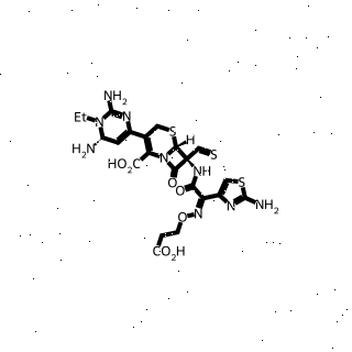 CCN1C(N)=NC(C2=C(C(=O)O)N3C(=O)[C@](C=S)(NC(=O)/C(=N\OCCC(=O)O)c4csc(N)n4)[C@H]3SC2)=C[C@@H]1N